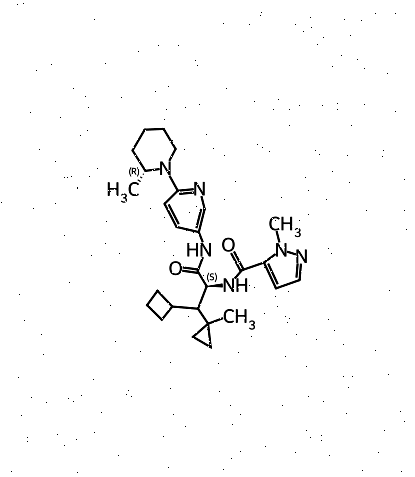 C[C@@H]1CCCCN1c1ccc(NC(=O)[C@@H](NC(=O)c2ccnn2C)C(C2CCC2)C2(C)CC2)cn1